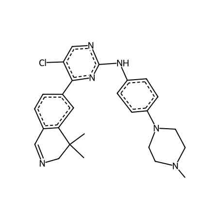 CN1CCN(c2ccc(Nc3ncc(Cl)c(-c4ccc5c(c4)C(C)(C)CN=C5)n3)cc2)CC1